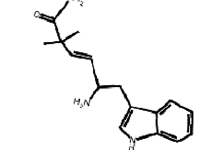 CC(C)(/C=C/C(N)Cc1c[nH]c2ccccc12)C(N)=O